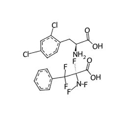 N[C@@H](Cc1ccc(Cl)cc1Cl)C(=O)O.O=C(O)[C@@](F)(N(F)F)C(F)(F)c1ccccc1